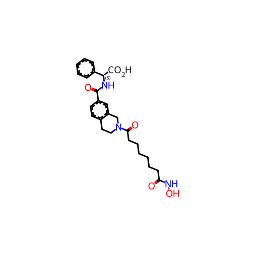 O=C(CCCCCCC(=O)N1CCc2ccc(C(=O)N[C@H](C(=O)O)c3ccccc3)cc2C1)NO